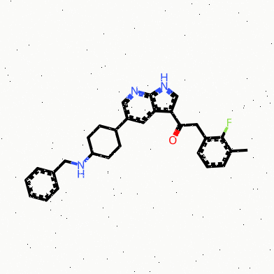 Cc1cccc(CC(=O)c2c[nH]c3ncc(C4CCC(NCc5ccccc5)CC4)cc23)c1F